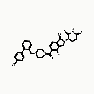 O=C1CCC(N2Cc3c(ccc(C(=O)N4CCN(Cc5ccccc5-c5ccc(Cl)cc5)CC4)c3F)C2=O)C(=O)N1